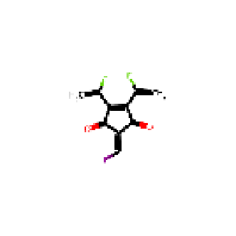 C=C(F)C1=C(C(=C)F)C(=O)C(=CI)C1=O